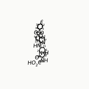 Cc1ccc(S(=O)(=O)n2ccc3c(N[C@@H]4CC[C@@H]5C[C@H](NC(=O)O)C(=O)N5C4)ncnc32)cc1